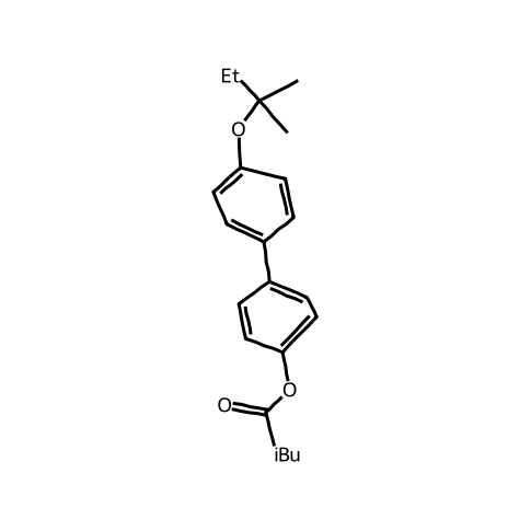 CCC(C)C(=O)Oc1ccc(-c2ccc(OC(C)(C)CC)cc2)cc1